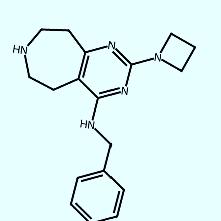 c1ccc(CNc2nc(N3CCC3)nc3c2CCNCC3)cc1